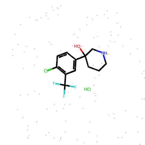 Cl.OC1(c2ccc(Cl)c(C(F)(F)F)c2)CCCNC1